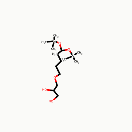 C[Si](C)(C)OC(O[Si](C)(C)C)[SiH2]CCCOCC(O)CO